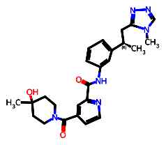 C[C@H](Cc1nncn1C)c1cccc(NC(=O)c2cc(C(=O)N3CCC(C)(O)CC3)ccn2)c1